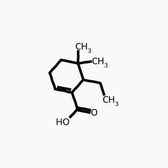 CCC1C(C(=O)O)=CCCC1(C)C